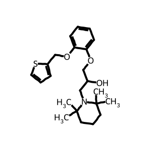 CC1(C)CCCC(C)(C)N1CC(O)COc1ccccc1OCc1cccs1